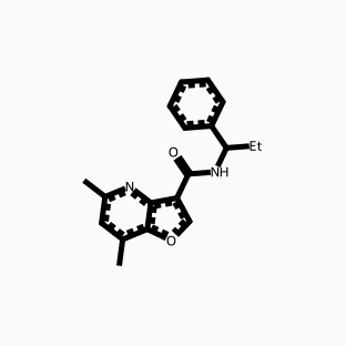 CCC(NC(=O)c1coc2c(C)cc(C)nc12)c1ccccc1